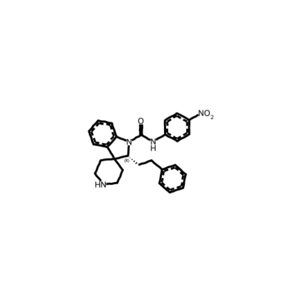 O=C(Nc1ccc([N+](=O)[O-])cc1)N1c2ccccc2C2(CCNCC2)[C@H]1CCc1ccccc1